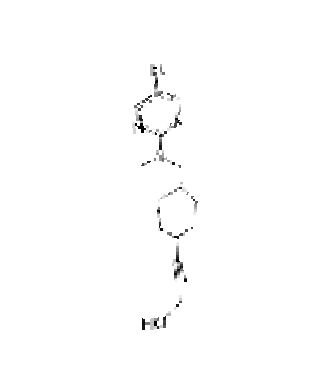 CCc1cnc(N(C)C[C@H]2CC[C@H](C#CCO)CC2)nc1